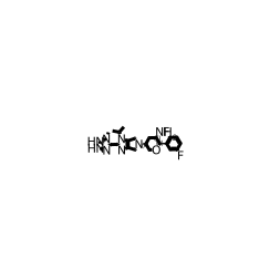 CC(C)n1c(C2=NNNN2C)nc2c1CN([C@H]1CO[C@H](c3cc(F)ccc3F)[C@@H](N)C1)C2